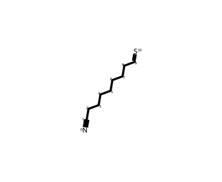 N#CCCCCCCCC=S